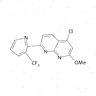 COc1cc(Cl)c2ccc(-c3ncccc3C(F)(F)F)nc2n1